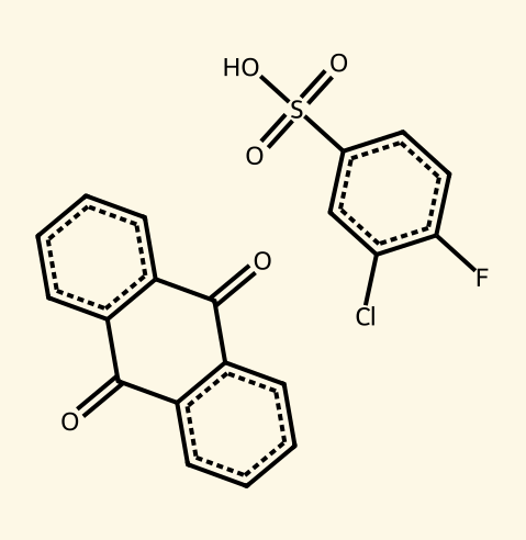 O=C1c2ccccc2C(=O)c2ccccc21.O=S(=O)(O)c1ccc(F)c(Cl)c1